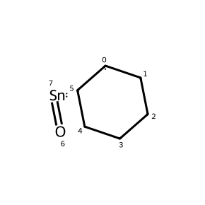 [CH]1CCCCC1.[O]=[Sn]